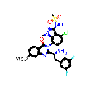 COc1ccc2c(=O)n(-c3ccc(Cl)c4c(NS(C)(=O)=O)nn(C)c34)c(C(N)Cc3cc(F)cc(F)c3)nc2c1